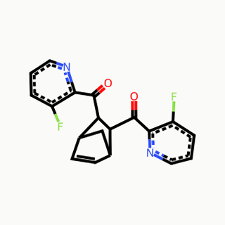 O=C(c1ncccc1F)C1C2C=CC(C2)C1C(=O)c1ncccc1F